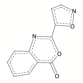 O=c1oc(-c2ccno2)nc2ccccc12